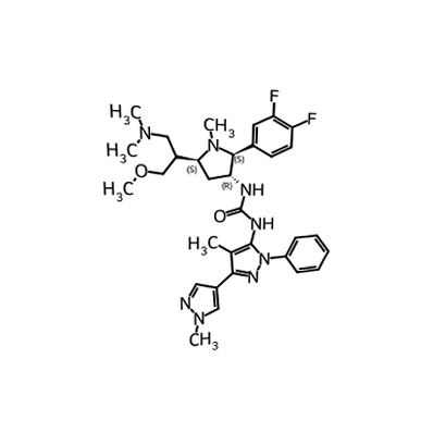 COCC(CN(C)C)[C@@H]1C[C@@H](NC(=O)Nc2c(C)c(-c3cnn(C)c3)nn2-c2ccccc2)[C@H](c2ccc(F)c(F)c2)N1C